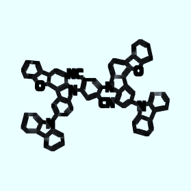 N#Cc1cc(-n2c3ccc(-n4c5ccccc5c5ccccc54)cc3c3c4oc5ccccc5c4ccc32)c(C#N)cc1-n1c2c(c3cc(-n4c5ccccc5c5ccccc54)ccc31)C1Oc3ccccc3C1C=C2